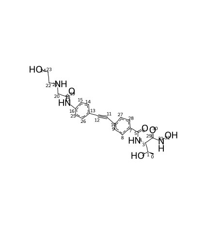 C[C@@H](O)[C@H](NC(=O)c1ccc(C#Cc2ccc(NC(=O)CNCCO)cc2)cc1)C(=O)NO